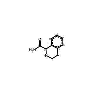 NC(=O)C1[N]CCc2ccccc21